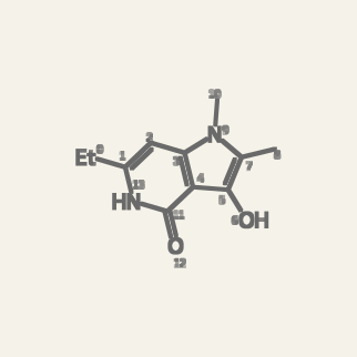 CCc1cc2c(c(O)c(C)n2C)c(=O)[nH]1